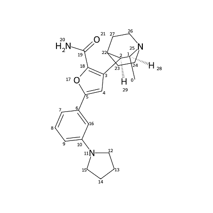 C[C@H]1[C@@H](c2cc(-c3cccc(N4CCCC4)c3)oc2C(N)=O)C2CCN1CC2